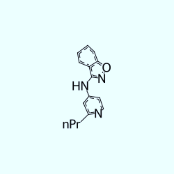 CCCc1cc(Nc2noc3ccccc23)ccn1